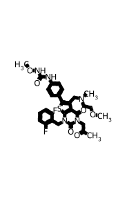 COCCN(C)Cc1c(-c2ccc(NC(=O)NOC)cc2)sc2c1c(=O)n(CC(C)=O)c(=O)n2Cc1c(F)cccc1F